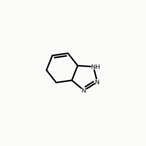 C1=CC2NN=NC2CC1